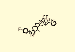 C[C@@H]1C2=C(CC[C@@H]2CN(CCc2ccccn2)S(=O)(=O)CC(F)(F)F)Cc2c1cnn2-c1ccc(F)cc1